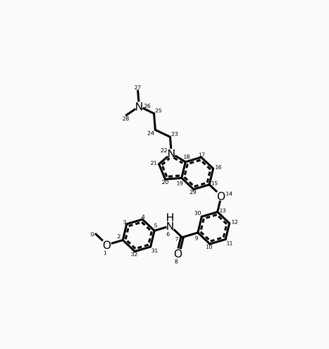 COc1ccc(NC(=O)c2cccc(Oc3ccc4c(ccn4CCCN(C)C)c3)c2)cc1